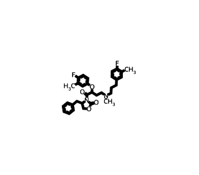 Cc1cc(CCCN(C)CCC(Oc2ccc(F)c(C)c2)C(=O)N2C(=O)OCC2Cc2ccccc2)ccc1F